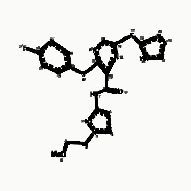 COCCn1ccc(NC(=O)c2nc(Sc3nnc[nH]3)cnc2Sc2ccc(F)cc2)n1